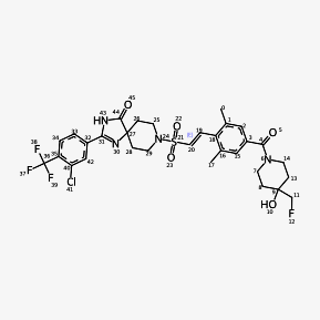 Cc1cc(C(=O)N2CCC(O)(CF)CC2)cc(C)c1/C=C/S(=O)(=O)N1CCC2(CC1)N=C(c1ccc(C(F)(F)F)c(Cl)c1)NC2=O